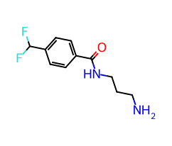 NCCCNC(=O)c1ccc(C(F)F)cc1